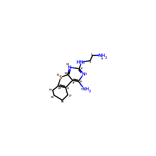 NCCNc1nc(N)c2c3c(sc2n1)CCCC3